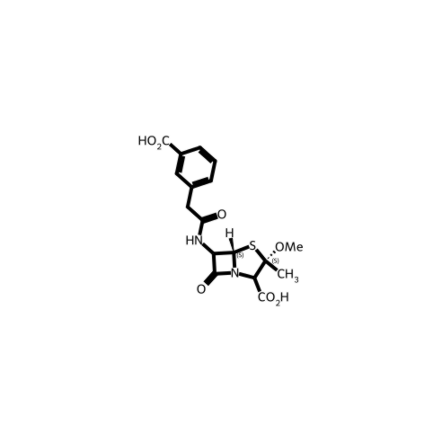 CO[C@@]1(C)S[C@H]2C(NC(=O)Cc3cccc(C(=O)O)c3)C(=O)N2C1C(=O)O